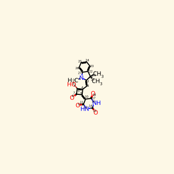 CN1C(=CC2=C(O)C(=O)C2=C2C(=O)NC(=O)NC2=O)C(C)(C)c2ccccc21